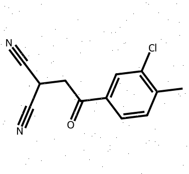 Cc1ccc(C(=O)CC(C#N)C#N)cc1Cl